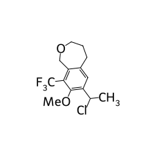 COc1c(C(C)Cl)cc2c(c1C(F)(F)F)COCCC2